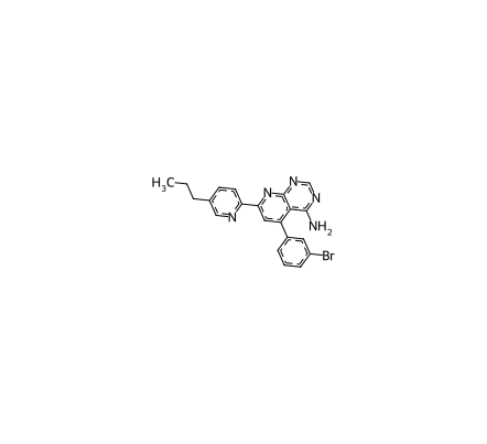 CCCc1ccc(-c2cc(-c3cccc(Br)c3)c3c(N)ncnc3n2)nc1